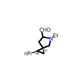 CCC[C@@H]1C[C@]12CC(C=O)N(CC)C2